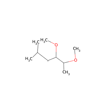 COC(C)C([CH]C(C)C)OC